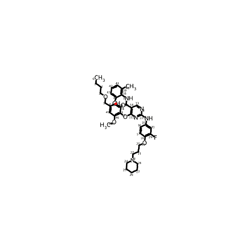 CCCCOCc1ccc(Oc2nc(Nc3ccc(OCCCN4CCCCC4)c(F)c3)ncc2C(=O)Nc2c(C)cccc2C)c(OC)c1